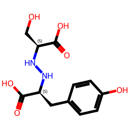 O=C(O)[C@H](CO)NN[C@@H](Cc1ccc(O)cc1)C(=O)O